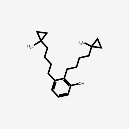 CC1(CCCCc2cccc(O)c2CCCCC2(C)CC2)CC1